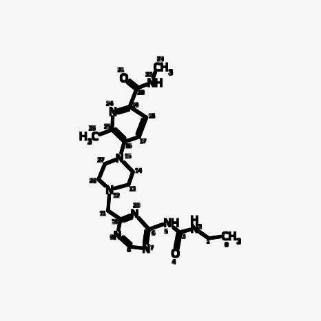 CCNC(=O)Nc1ncnc(CN2CCN(c3ccc(C(=O)NC)nc3C)CC2)n1